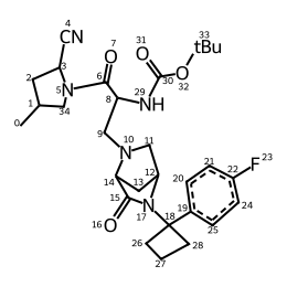 CC1CC(C#N)N(C(=O)C(CN2CC3CC2C(=O)N3C2(c3ccc(F)cc3)CCC2)NC(=O)OC(C)(C)C)C1